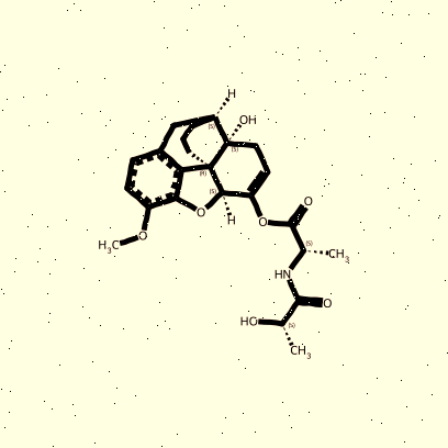 COc1ccc2c3c1O[C@@H]1C(OC(=O)[C@H](C)NC(=O)[C@H](C)O)=CC[C@]4(O)[C@@H](CCC[C@@]314)C2